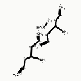 C=CCC(N)CC=C.C=CCC(N)CC=C.O=S(=O)(O)O